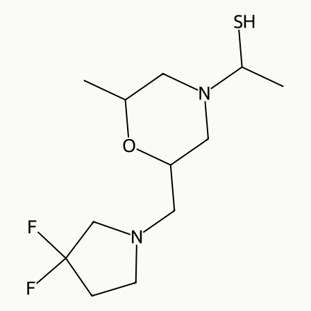 CC1CN(C(C)S)CC(CN2CCC(F)(F)C2)O1